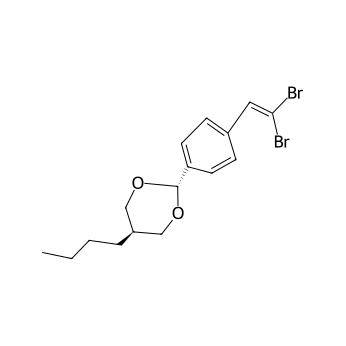 CCCC[C@H]1CO[C@H](c2ccc(C=C(Br)Br)cc2)OC1